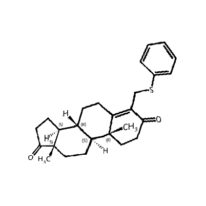 C[C@]12CCC(=O)C(CSc3ccccc3)=C1CC[C@@H]1[C@@H]2CC[C@]2(C)C(=O)CC[C@@H]12